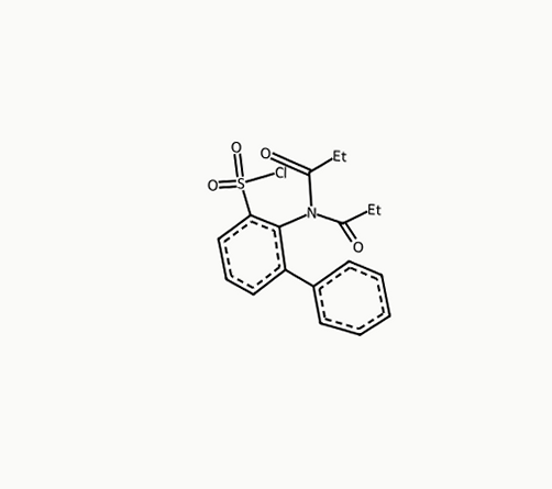 CCC(=O)N(C(=O)CC)c1c(-c2ccccc2)cccc1S(=O)(=O)Cl